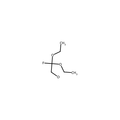 CCOC(F)(C[O])OCC